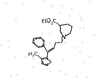 CCOC(=O)C1CCCN(CC/C=C(\c2ccccc2)c2sccc2C)C1